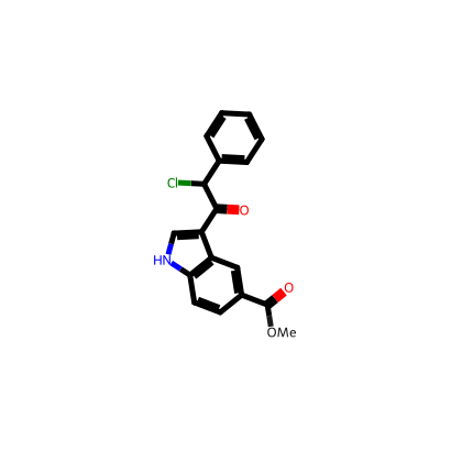 COC(=O)c1ccc2[nH]cc(C(=O)C(Cl)c3ccccc3)c2c1